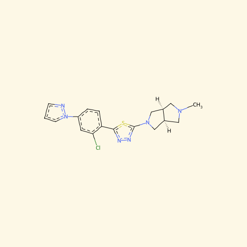 CN1C[C@@H]2CN(c3nnc(-c4ccc(-n5cccn5)cc4Cl)s3)C[C@@H]2C1